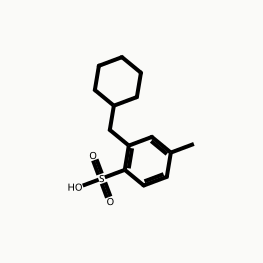 Cc1ccc(S(=O)(=O)O)c(CC2CCCCC2)c1